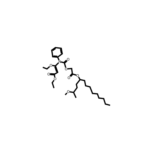 CCCCCCCCCC(CCC(C)OC)OC(=O)COC(=O)N(C(=CC(=O)OCC)OCC)c1ccccc1